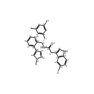 Cc1cc(F)cc(C[C@H](NC(=O)Cc2c[nH]c3ccc(F)cc23)c2ncccc2-c2cnn(C)c2)c1